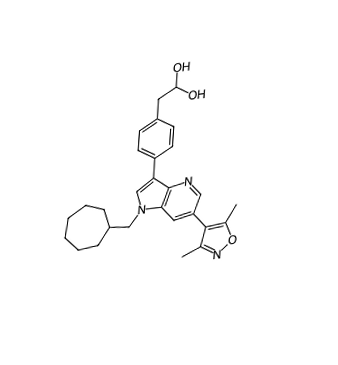 Cc1noc(C)c1-c1cnc2c(-c3ccc(CC(O)O)cc3)cn(CC3CCCCCC3)c2c1